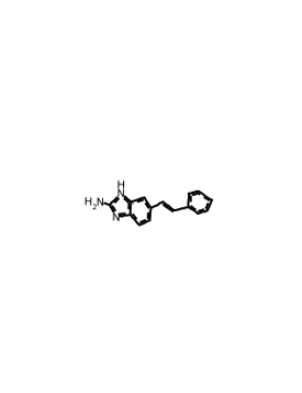 Nc1nc2ccc(C=Cc3ccccc3)cc2[nH]1